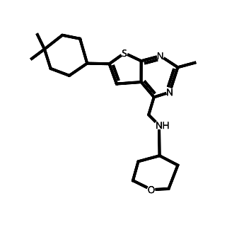 Cc1nc(CNC2CCOCC2)c2cc(C3CCC(C)(C)CC3)sc2n1